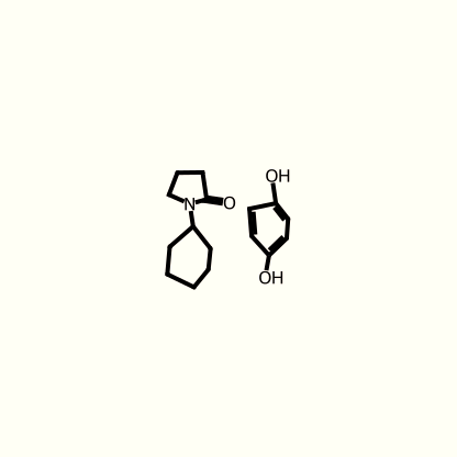 O=C1CCCN1C1CCCCC1.Oc1ccc(O)cc1